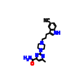 Cc1cc(C(N)=O)nc(N2CCN(CCCc3c[nH]c4ccc(C#N)cc34)CC2)n1